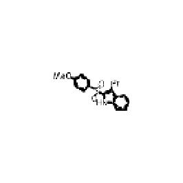 COc1ccc(S(=O)(=O)c2[nH]c3ccccc3c2C(C)C)cc1